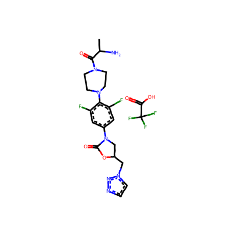 CC(N)C(=O)N1CCN(c2c(F)cc(N3CC(Cn4ccnn4)OC3=O)cc2F)CC1.O=C(O)C(F)(F)F